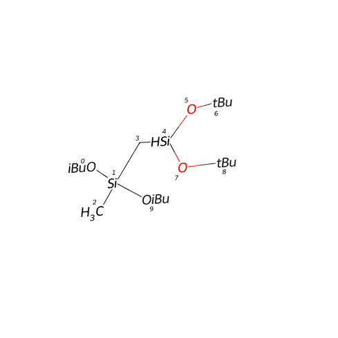 CC(C)CO[Si](C)(C[SiH](OC(C)(C)C)OC(C)(C)C)OCC(C)C